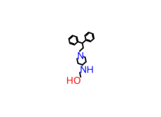 OCCNC1CCN(CCC(c2ccccc2)c2ccccc2)CC1